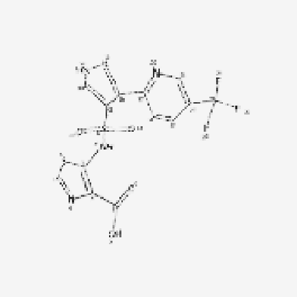 O=C(O)c1ncsc1NS(=O)(=O)c1c[nH]nc1-c1ccc(C(F)(F)F)cn1